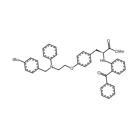 COC(=O)[C@H](Cc1ccc(OCCN(Cc2ccc(C(C)(C)C)cc2)c2ccccc2)cc1)Nc1ccccc1C(=O)c1ccccc1